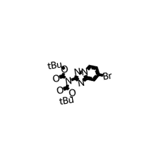 CC(C)(C)OC(=O)N(C(=O)OC(C)(C)C)c1nc2cc(Br)ccn2n1